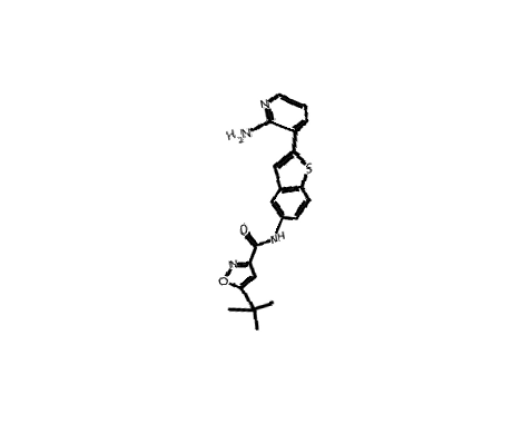 CC(C)(C)c1cc(C(=O)Nc2ccc3sc(-c4cccnc4N)cc3c2)no1